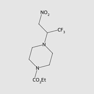 CCOC(=O)N1CCN(C(C[N+](=O)[O-])C(F)(F)F)CC1